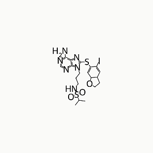 CC(C)S(=O)(=O)NCCCn1c(SC2=CC3OCCC3C=C2I)nc2c(N)ncnc21